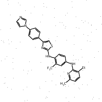 CCc1ccc(C)nc1Nc1ccc(Nc2nc(-c3ccc(-n4ccnc4)cc3)cs2)c(C(F)(F)F)c1